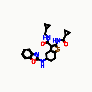 O=C(NCC1CC1)c1c(NC(=O)C2CC2)sc2c1CC(Nc1nc3ccccc3o1)CC2